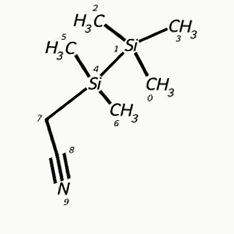 C[Si](C)(C)[Si](C)(C)CC#N